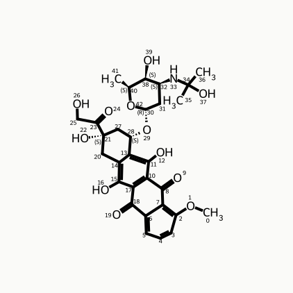 COc1cccc2c1C(=O)c1c(O)c3c(c(O)c1C2=O)C[C@@](O)(C(=O)CO)C[C@@H]3O[C@H]1C[C@H](NC(C)(C)O)[C@H](O)[C@H](C)O1